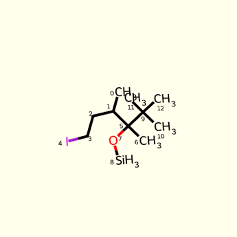 CC(CCI)C(C)(O[SiH3])C(C)(C)C